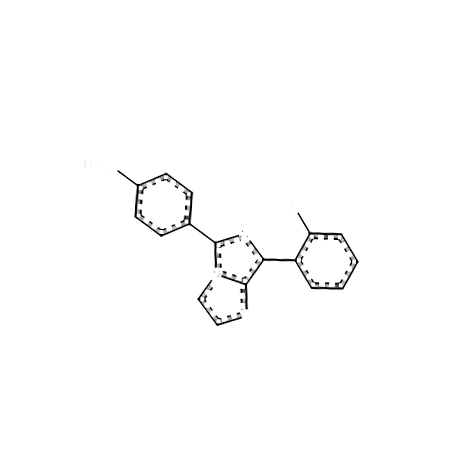 O=C(O)c1ccc(-c2nc(-c3ccccc3F)c3sccn23)cc1